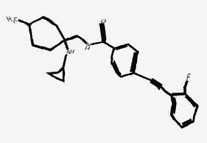 CC1CCC(CNC(=O)c2ccc(C#Cc3ccccc3F)cc2)(NC2CC2)CC1